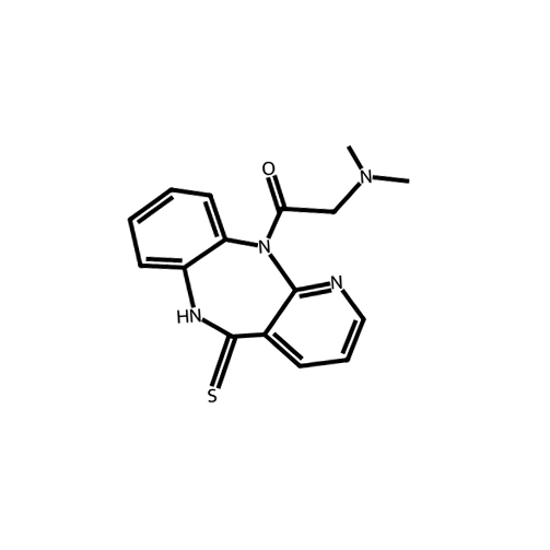 CN(C)CC(=O)N1c2ccccc2NC(=S)c2cccnc21